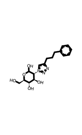 OC[C@H]1OC(O)[C@H](n2cc(CCCc3ccccc3)nn2)[C@@H](O)[C@@H]1O